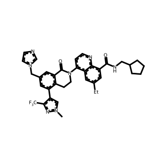 CCc1cc(C(=O)NCC2CCCC2)c2nccc(N3CCc4c(cc(Cn5ccnc5)cc4-c4cn(C)nc4C(F)(F)F)C3=O)c2c1